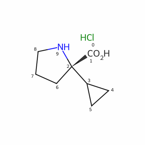 Cl.O=C(O)[C@@]1(C2CC2)CCCN1